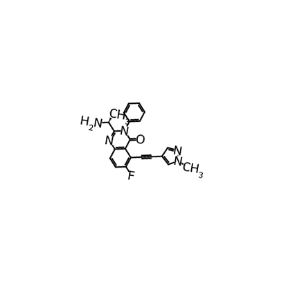 C[C@H](N)c1nc2ccc(F)c(C#Cc3cnn(C)c3)c2c(=O)n1-c1ccccc1